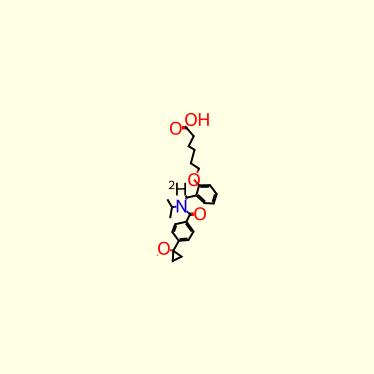 [2H]C(c1ccccc1OCCCCCC(=O)O)N(C(=O)c1ccc(C2(OC)CC2)cc1)C(C)C